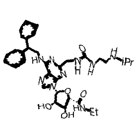 CCNC(=O)[C@H]1O[C@@H](n2cnc3c(NCC(c4ccccc4)c4ccccc4)nc(CNC(=O)NCCNC(C)C)nc32)[C@H](O)[C@@H]1O